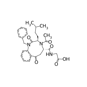 CC(=O)N1[C@H](CCC(C)C)C(=O)N(Cc2ccccc2)c2ccccc2C(=O)C[C@H]1C(=O)NCC(=O)O